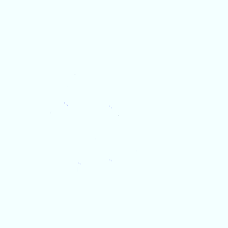 COc1ccc(-c2nc(Nc3cc(C(=O)NC4CC4)ccc3C)sc2C(=O)NCc2ccccc2)cc1C